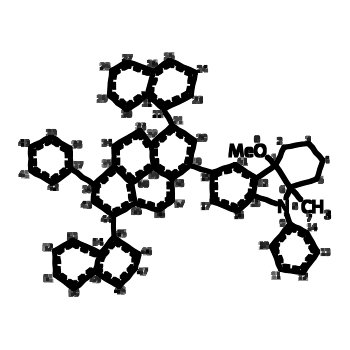 COC12CCCCC1(C)N(c1ccccc1)c1ccc(-c3cc(-c4cccc5ccccc45)c4ccc5c(-c6ccccc6)cc(-c6cccc7ccccc67)c6ccc3c4c56)cc12